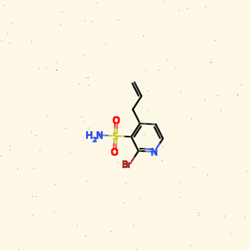 C=CCc1ccnc(Br)c1S(N)(=O)=O